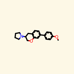 COc1ccc(-c2ccc3c(c2)OCC(N2CCCC2)C3)cc1